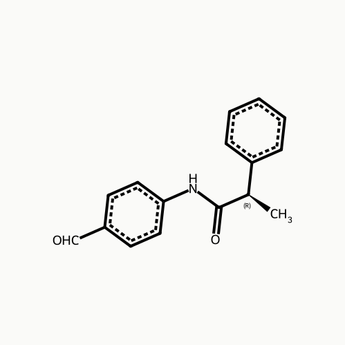 C[C@@H](C(=O)Nc1ccc(C=O)cc1)c1ccccc1